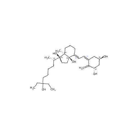 C=C1/C(=C\C=C2/CCC[C@@]3(C)[C@@]2(O)CC[C@]3(O)[C@@H](C)CCCCC(O)(CC)CC)C[C@@H](O)C[C@@H]1O